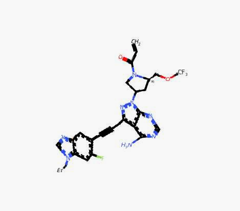 C=CC(=O)N1CC(n2nc(C#Cc3cc4ncn(CC)c4cc3F)c3c(N)ncnc32)C[C@@H]1COC(F)(F)F